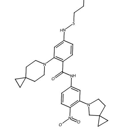 O=C(Nc1ccc([N+](=O)[O-])c(N2CCC3(CC3)C2)c1)c1ccc(NSCCO)cc1N1CCC2(CC1)CC2